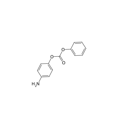 Nc1ccc(OC(=O)Oc2ccccc2)cc1